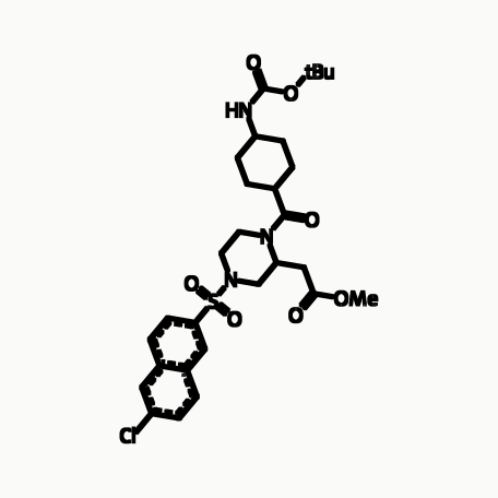 COC(=O)CC1CN(S(=O)(=O)c2ccc3cc(Cl)ccc3c2)CCN1C(=O)C1CCC(NC(=O)OC(C)(C)C)CC1